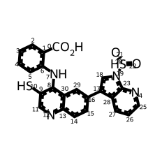 O=C(O)c1ccccc1Nc1c(S)cnc2ccc(-c3cn([SH](=O)=O)c4ncccc34)cc12